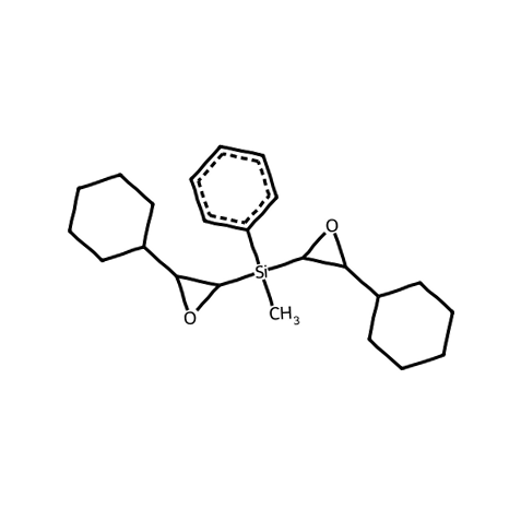 C[Si](c1ccccc1)(C1OC1C1CCCCC1)C1OC1C1CCCCC1